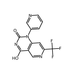 O=c1nc(O)c2cnc(C(F)(F)F)cc2n1-c1cccnc1